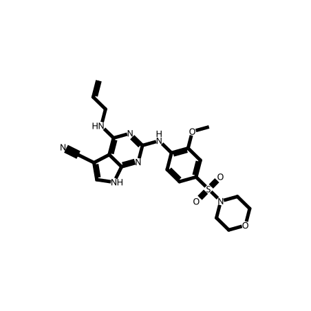 C=CCNc1nc(Nc2ccc(S(=O)(=O)N3CCOCC3)cc2OC)nc2[nH]cc(C#N)c12